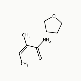 C1CCOC1.CC=C(C)C(N)=O